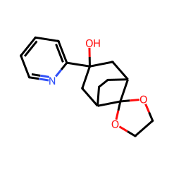 OC1(c2ccccn2)CC2CCC(C1)C21OCCO1